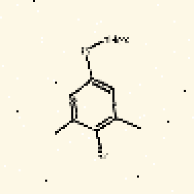 CCCCCCOc1cc(C)c(Br)c(C)c1